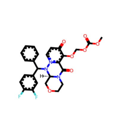 COC(=O)OCOc1c2n(ccc1=O)N(C(c1ccccc1)c1ccc(F)c(F)c1)[C@@H]1COCCN1C2=O